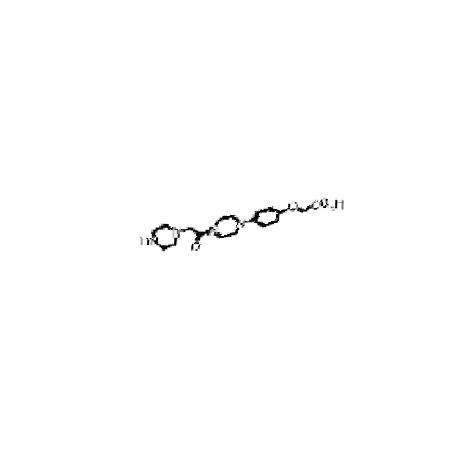 O=C(O)COc1ccc(N2CCN(C(=O)CN3CCNCC3)CC2)cc1